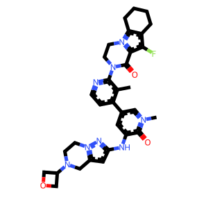 Cc1c(-c2cc(Nc3cc4n(n3)CCN(C3COC3)C4)c(=O)n(C)c2)ccnc1N1CCn2c3c(c(F)c2C1=O)CCCC3